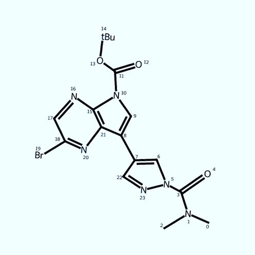 CN(C)C(=O)n1cc(-c2cn(C(=O)OC(C)(C)C)c3ncc(Br)nc23)cn1